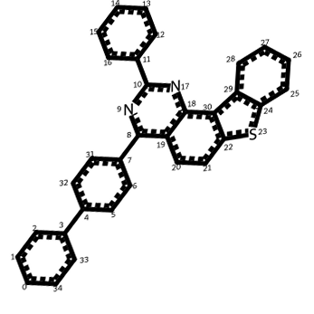 c1ccc(-c2ccc(-c3nc(-c4ccccc4)nc4c3ccc3sc5ccccc5c34)cc2)cc1